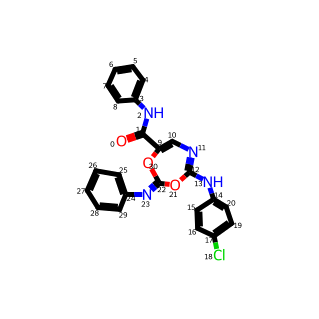 O=C(Nc1ccccc1)C1=CN=C(Nc2ccc(Cl)cc2)O/C(=N/c2ccccc2)O1